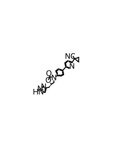 N#CC1(c2ccc(-c3ccc(N4C[C@@H](Cc5c[nH]nn5)OC4=O)cc3)cn2)CC1